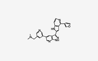 CN(C)Cc1cncc(-c2cnc3[nH]nc(-c4cc5c(-c6ccoc6)nccc5[nH]4)c3c2)c1